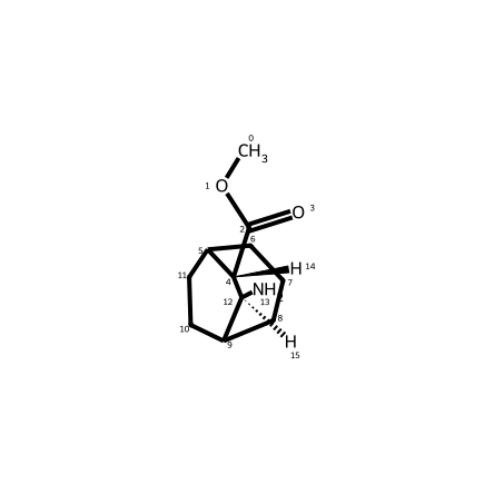 COC(=O)[C@H]1C2CCCC(CC2)[C@@H]1N